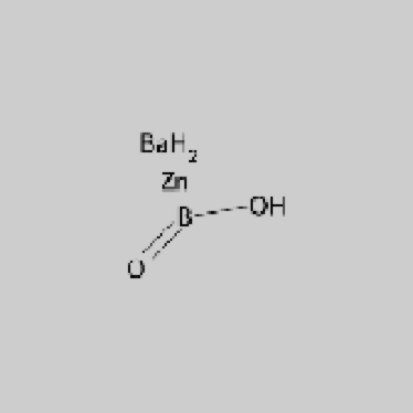 O=BO.[BaH2].[Zn]